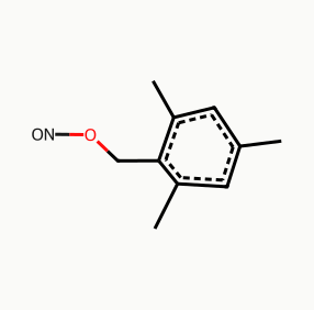 Cc1cc(C)c(CON=O)c(C)c1